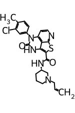 C=CCN1CCC[C@@H](NC(=O)c2sc3nccc4c3c2NC(=O)N4c2ccc(C)c(Cl)c2)C1